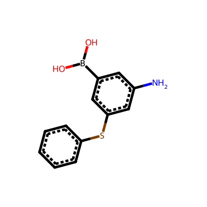 Nc1cc(Sc2ccccc2)cc(B(O)O)c1